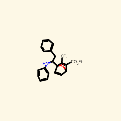 CCOC(=O)C1=C(C(F)(F)F)C2(C(Cc3ccccc3)Nc3ccccc3)C=CC1O2